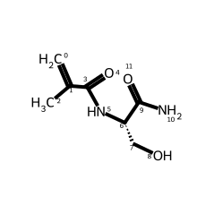 C=C(C)C(=O)N[C@@H](CO)C(N)=O